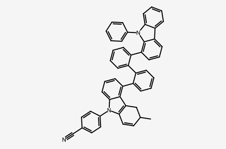 CC1C=Cc2c(c3c(-c4ccccc4-c4ccccc4-c4cccc5c6ccccc6n(-c6ccccc6)c45)cccc3n2-c2ccc(C#N)cc2)C1